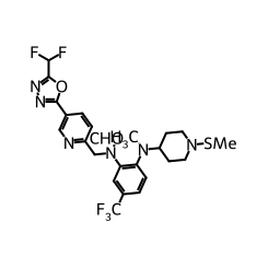 CSN1CCC(N(C)c2ccc(C(F)(F)F)cc2N(C=O)Cc2ccc(-c3nnc(C(F)F)o3)cn2)CC1